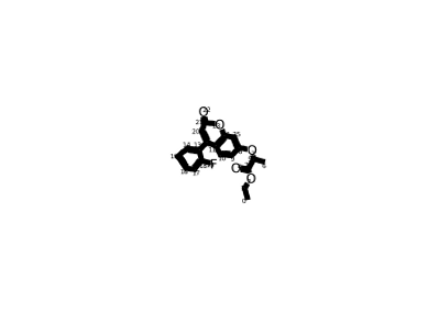 CCOC(=O)C(C)Oc1ccc2c(-c3ccccc3F)cc(=O)oc2c1